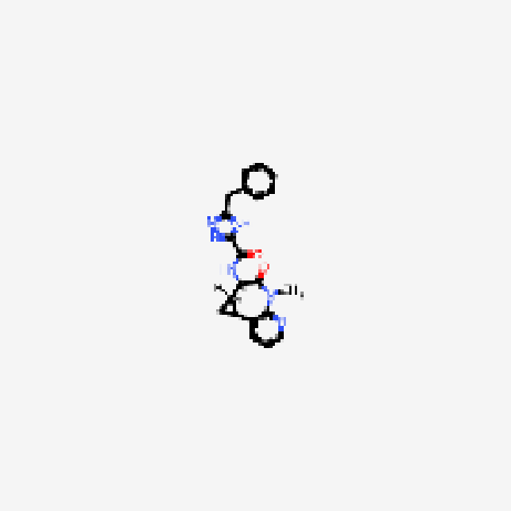 CN1C(=O)[C@H](NC(=O)c2nnc(Cc3ccccc3)[nH]2)[C@@H]2CC2c2cccnc21